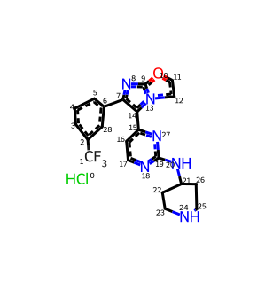 Cl.FC(F)(F)c1cccc(-c2nc3occn3c2-c2ccnc(NC3CCNCC3)n2)c1